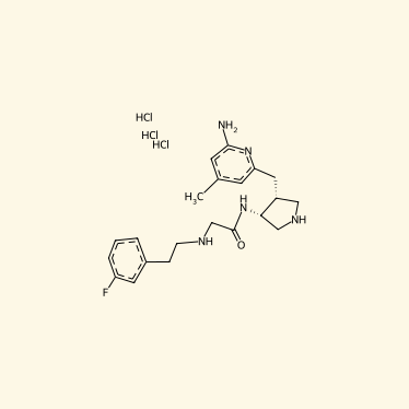 Cc1cc(N)nc(C[C@@H]2CNC[C@@H]2NC(=O)CNCCc2cccc(F)c2)c1.Cl.Cl.Cl